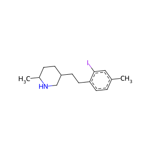 Cc1ccc(CCC2CCC(C)NC2)c(I)c1